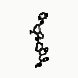 O=C(O)CC1COc2cc(O[C@@H]3CCc4c(Oc5cnccn5)ccc(F)c43)ccc21